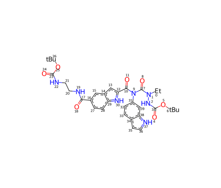 CCN(NC(=O)OC(C)(C)C)C(=O)N(C(=O)c1cc2cc(C(=O)NCCNC(=O)OC(C)(C)C)ccc2[nH]1)c1ccc2cc[nH]c2c1